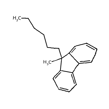 CCCCCCC1(C)c2ccccc2-c2ccccc21